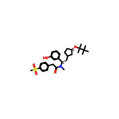 CN(C(=O)Cc1ccc(S(C)(=O)=O)cc1)[C@@H](CC1CC[C@H](O[Si](C)(C)C(C)(C)C)C1)c1cccc(O)c1